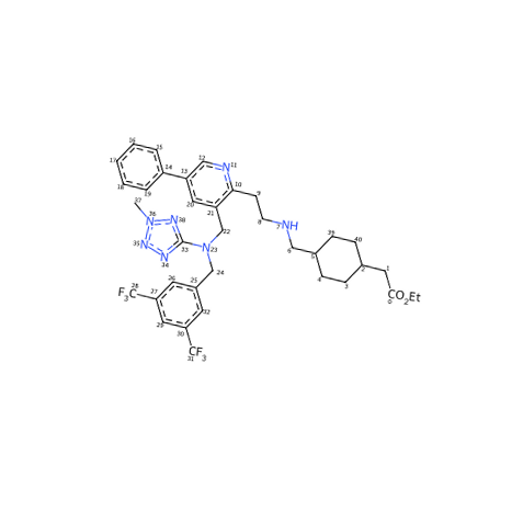 CCOC(=O)CC1CCC(CNCCc2ncc(-c3ccccc3)cc2CN(Cc2cc(C(F)(F)F)cc(C(F)(F)F)c2)c2nnn(C)n2)CC1